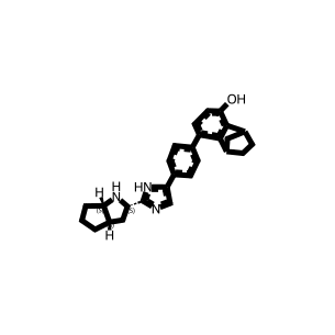 Oc1ccc(-c2ccc(-c3cnc([C@@H]4C[C@@H]5CCC[C@@H]5N4)[nH]3)cc2)c2c1C1CCC2C1